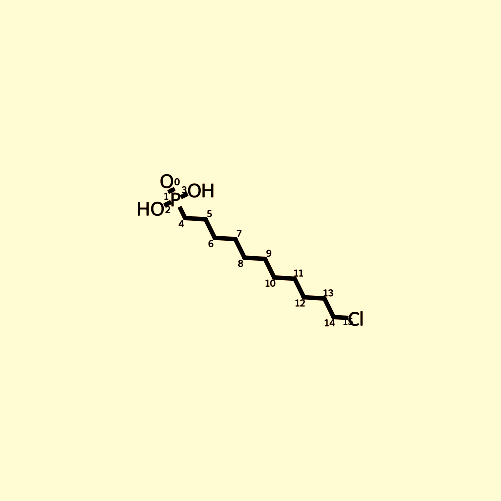 O=P(O)(O)CCCCCCCCCCCCl